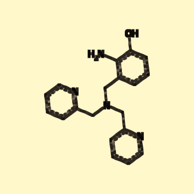 Nc1c(O)cccc1CN(Cc1ccccn1)Cc1ccccn1